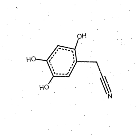 N#CCc1cc(O)c(O)cc1O